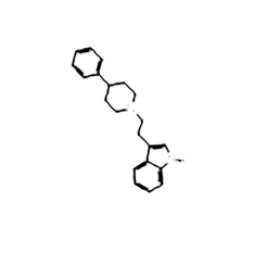 Cn1cc(CCN2C[CH][C](c3ccccc3)CC2)c2ccccc21